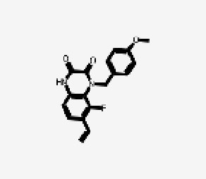 C=Cc1ccc2[nH]c(=O)c(=O)n(Cc3ccc(OC)cc3)c2c1F